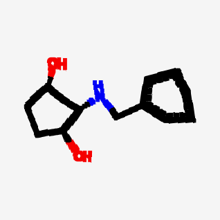 O[C@@H]1CC[C@H](O)[C@H]1NCc1ccccc1